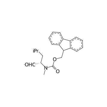 CC(C)C[C@@H]([C]=O)N(C)C(=O)OCC1c2ccccc2-c2ccccc21